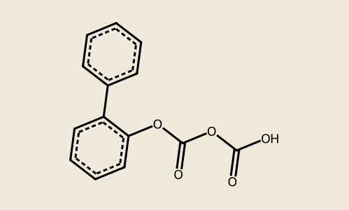 O=C(O)OC(=O)Oc1ccccc1-c1ccccc1